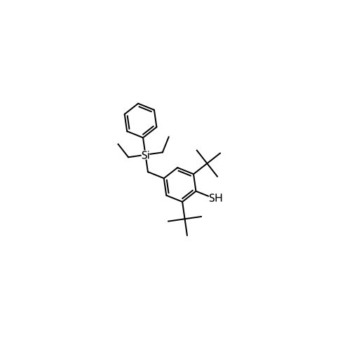 CC[Si](CC)(Cc1cc(C(C)(C)C)c(S)c(C(C)(C)C)c1)c1ccccc1